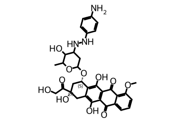 COc1cccc2c1C(=O)c1c(O)c3c(c(O)c1C2=O)C[C@@](O)(C(=O)CO)C[C@@H]3OC1CC(NNc2ccc(N)cc2)C(O)C(C)O1